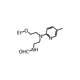 CCOCCN(CCNC=O)c1ccc(C)cn1